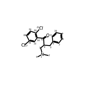 CN(C)CC(Cc1ccccc1)C(=O)c1cc(Cl)ccc1Cl